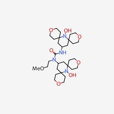 COCCN(C(=O)NC1CC2(CCOCC2)N(O)C2(CCOCC2)C1)C1CC2(CCOCC2)N(O)C2(CCOCC2)C1